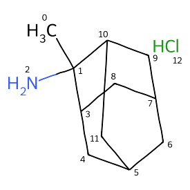 CC1(N)C2CC3CC(C2)CC1C3.Cl